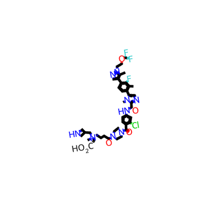 Cc1c(-c2cnc(C(=O)Nc3ccc(C(=O)N4CCN(C(=O)CCC[N+](C)(CC(=O)O)CC5CNC5)CC4)c(Cl)c3)n2C)ccc(-c2cnn(CCOC(F)F)c2C)c1F